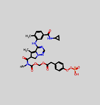 CCCN(C(=O)OCOC(=O)Cc1ccc(OO[PH](=O)O)cc1)C(=O)C1CN2N=CN=C(Nc3cc(C(=O)NC4CC4)ccc3C)C2=C1C